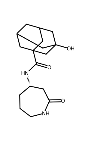 O=C1C[C@@H](NC(=O)C23CC4CC(CC(O)(C4)C2)C3)CCCN1